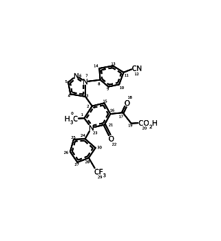 Cc1c(-c2ccnn2-c2ccc(C#N)cc2)cc(C(=O)CC(=O)O)c(=O)n1-c1cccc(C(F)(F)F)c1